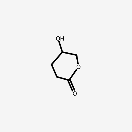 O=C1CCC(O)CO1